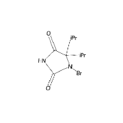 CC(C)C1(C(C)C)C(=O)NC(=O)N1Br